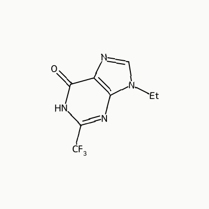 CCn1cnc2c(=O)[nH]c(C(F)(F)F)nc21